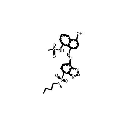 CCCCN(C)S(=O)(=O)c1ccc(/N=N/c2ccc(O)c3cccc(NS(C)(=O)=O)c23)c2nsnc12